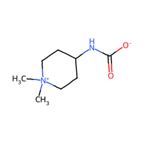 C[N+]1(C)CCC(NC(=O)[O-])CC1